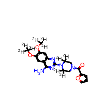 [2H]C([2H])([2H])Oc1cc2nc(N3C([2H])([2H])CN(C(=O)c4ccco4)CC3([2H])[2H])nc(N)c2cc1OC([2H])([2H])[2H]